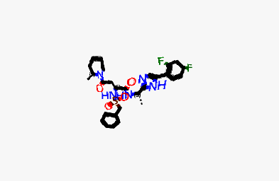 C[C@H](NC(=O)[C@H](CC(=O)N1CCCC[C@@H]1C)NS(=O)(=O)Cc1ccccc1)c1ncc(-c2ccc(F)cc2F)[nH]1